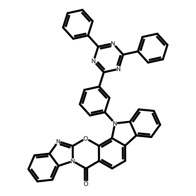 O=c1c2ccc3c4ccccc4n(-c4cccc(-c5nc(-c6ccccc6)nc(-c6ccccc6)n5)c4)c3c2oc2nc3ccccc3n12